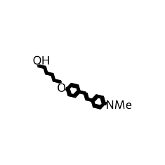 CNc1ccc(C=Cc2ccc(OCCCCCCO)cc2)cc1